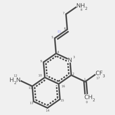 C=C(c1nc(/C=C/CN)cc2c(N)cccc12)C(F)(F)F